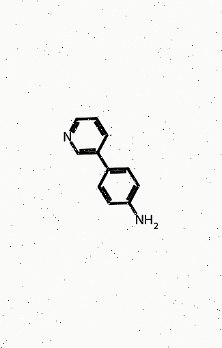 Nc1ccc(-c2[c]ccnc2)cc1